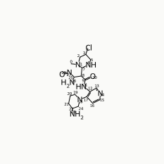 CN1CC(Cl)CNC1C(C(=O)Nc1cnccc1N1CCCC(N)C1)C(N)N=O